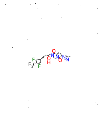 Cc1cn(-c2ccc3n(c2=O)CCN(C[C@H](O)CC#Cc2cc(F)c(C(F)(F)F)c(F)c2)C3=O)cn1